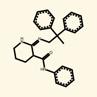 CC(C/N=C1/NCCCC1C(=O)Nc1ccccc1)(c1ccccc1)c1ccccc1